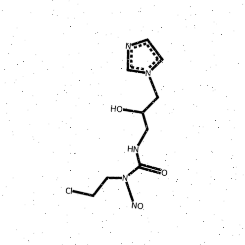 O=NN(CCCl)C(=O)NCC(O)Cn1ccnc1